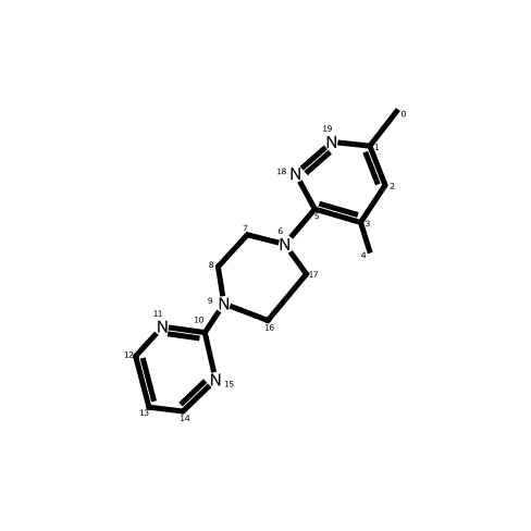 Cc1cc(C)c(N2CCN(c3ncccn3)CC2)nn1